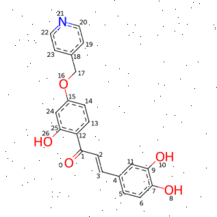 O=C(/C=C/c1ccc(O)c(O)c1)c1ccc(OCc2ccncc2)cc1O